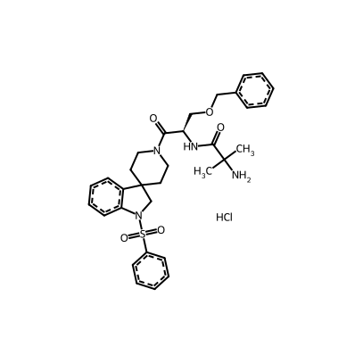 CC(C)(N)C(=O)N[C@H](COCc1ccccc1)C(=O)N1CCC2(CC1)CN(S(=O)(=O)c1ccccc1)c1ccccc12.Cl